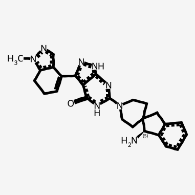 Cn1ncc2c1CCC=C2c1n[nH]c2nc(N3CCC4(CC3)Cc3ccccc3[C@H]4N)[nH]c(=O)c12